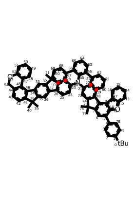 CC(C)(C)c1ccc(-c2cc3c(c4c2oc2ccccc24)-c2ccc(N(c4ccc5c(c4)C(C)(C)c4cc6c(cc4-5)C(C)(C)c4ccc5c(c4-6)-c4ccccc4OC5)c4c(-c5ccccc5)cccc4-c4ccccc4)cc2C3(C)C)cc1